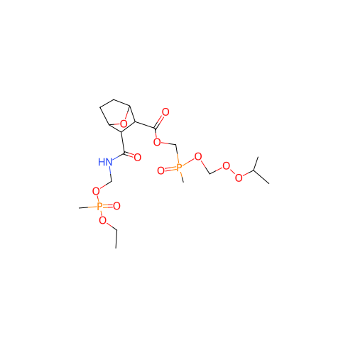 CCOP(C)(=O)OCNC(=O)C1C2CCC(O2)C1C(=O)OCP(C)(=O)OCOOC(C)C